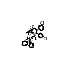 C=C[C@H](C)[C@@]1(OC)C[C@H](c2cccc(Cl)c2)[C@@H](c2ccc(Cl)cc2)N([C@@H](CC)CO[Si](c2ccccc2)(c2ccccc2)C(C)(C)C)C1=O